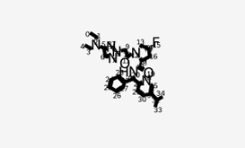 CCN(CC)c1cnn(CC(=O)N2C[C@H](F)C[C@H]2C(=O)N[C@@H](c2ccccc2)c2ccc(C(C)C)cn2)n1